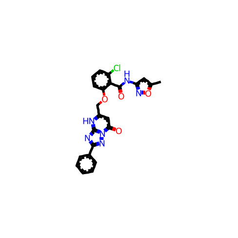 Cc1cc(NC(=O)c2c(Cl)cccc2OCc2cc(=O)n3nc(-c4ccccc4)nc3[nH]2)no1